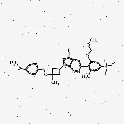 COCOc1cc(C(F)(F)F)cc(C)c1-c1cc2c(F)cn(C3CC(C)(OCc4ccc(OC)cc4)C3)c2nn1